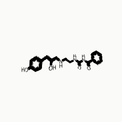 O=C(NCCNCC(O)Cc1ccc(O)cc1)NC(=O)c1ccccc1